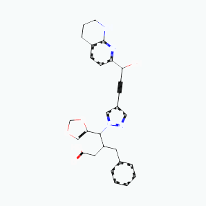 O=C(O)CC(Cc1ccccc1)C(C1=COCO1)n1cc(C#CC(O)c2ccc3c(n2)NCCC3)cn1